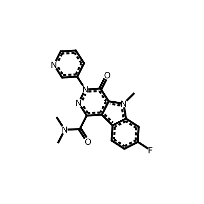 CN(C)C(=O)c1nn(-c2cccnc2)c(=O)c2c1c1ccc(F)cc1n2C